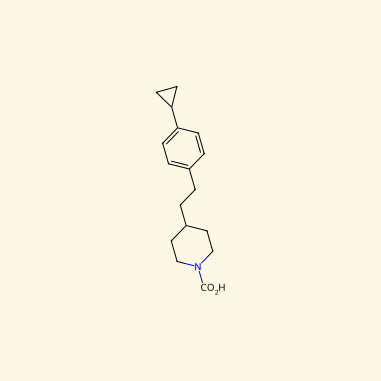 O=C(O)N1CCC(CCc2ccc(C3CC3)cc2)CC1